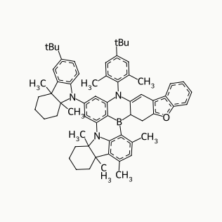 Cc1cc(C)c2c3c1B1c4c(cc(N5c6ccc(C(C)(C)C)cc6C6(C)CCCCC56C)cc4N3C3(C)CCCCC23C)N(c2c(C)cc(C(C)(C)C)cc2C)C2=Cc3c(oc4ccccc34)CC12